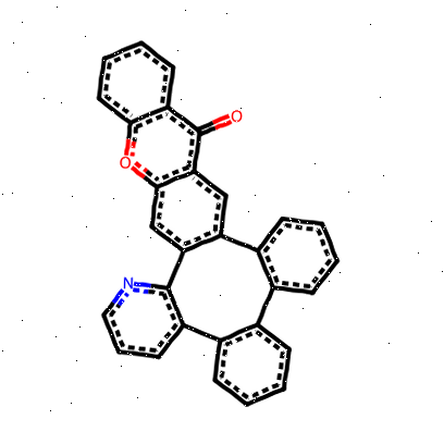 O=c1c2ccccc2oc2cc3c(cc12)-c1ccccc1-c1ccccc1-c1cccnc1-3